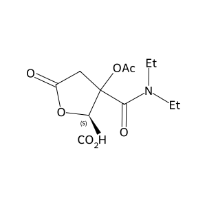 CCN(CC)C(=O)C1(OC(C)=O)CC(=O)O[C@@H]1C(=O)O